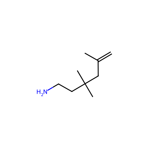 C=C(C)CC(C)(C)CCN